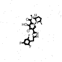 C[C@@H]1CC[C@@H]2N(C)C(=O)c3c(O)c(=O)c(-c4nnc(Cc5c(F)cc(F)cc5F)s4)cn3N12